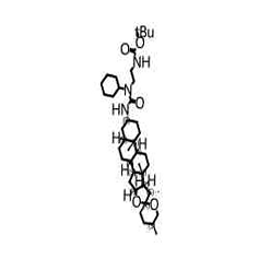 C[C@H]1CC[C@@]2(OC1)O[C@H]1C[C@H]3[C@@H]4CC[C@@H]5C[C@H](NC(=O)N(CCNC(=O)OC(C)(C)C)C6CCCCC6)CC[C@]5(C)[C@H]4CC[C@]3(C)[C@H]1[C@@H]2C